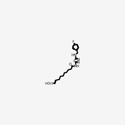 CCCCCCCCC=CCCCCCCCC(=O)Nc1nnc(NCc2ccc(F)cc2)s1